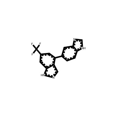 FC(F)(F)c1cc(-c2ccc3[nH]cnc3c2)c2cn[nH]c2c1